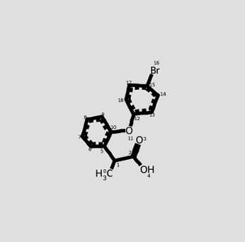 CC(C(=O)O)c1ccccc1Oc1ccc(Br)cc1